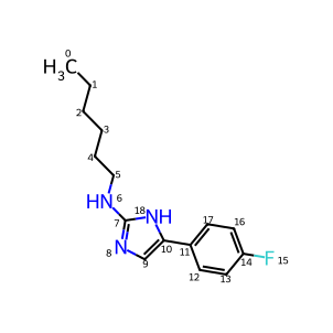 CCCCCCNc1ncc(-c2ccc(F)cc2)[nH]1